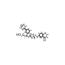 O=C(O)C[C@H](CN1CCC(F)(CCc2ccc3c(n2)NCCC3)C1)c1cccc(N2CCOCC2)c1